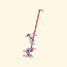 COCCOCCOCCOCCOCCOCCOCCOCCOCC(=O)NCCCC[C@H](NC(=O)CCCN1C(=O)C=CC1=O)C(=O)NCC(=O)NCCCC(=O)Nc1cc(C[C@@H](C[C@H](C)C(=O)O)NC(=O)OC(C)(C)C)ccc1O